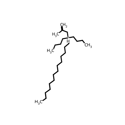 C=C(C)C[PH](CCCC)(CCCC)CCCCCCCCCCCCCC